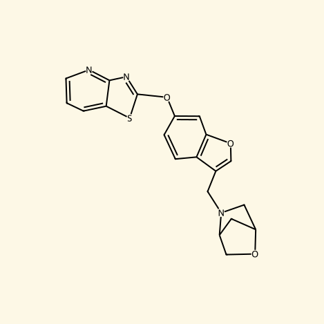 c1cnc2nc(Oc3ccc4c(CN5CC6CC5CO6)coc4c3)sc2c1